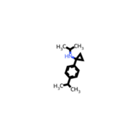 CC(C)NC1(c2ccc(C(C)C)cc2)CC1